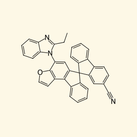 CCc1nc2ccccc2n1-c1cc2c(c3ccoc13)-c1ccccc1C21c2ccccc2-c2ccc(C#N)cc21